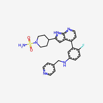 NS(=O)(=O)N1CCC(c2cc3c(-c4cc(NCc5ccncc5)ccc4F)ccnc3[nH]2)CC1